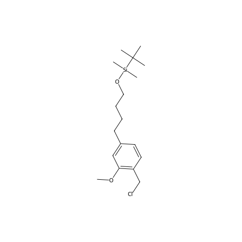 COc1cc(CCCCO[Si](C)(C)C(C)(C)C)ccc1CCl